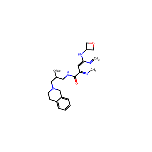 C=N/C(=C\C(=N/C)C(=O)NCC(CN1CCc2ccccc2C1)OC)NC1COC1